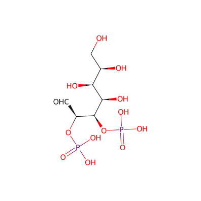 O=C[C@H](OP(=O)(O)O)[C@H](OP(=O)(O)O)[C@H](O)[C@@H](O)[C@H](O)CO